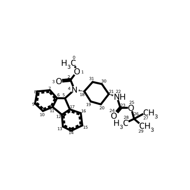 COC(=O)N(C1c2ccccc2-c2ccccc21)[C@H]1CC[C@@H](NC(=O)OC(C)(C)C)CC1